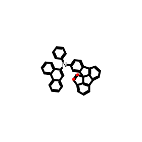 c1ccc(N(c2ccc3c(c2)C24c5ccccc5-c5cccc(c52)-c2cccc-3c24)c2cc3ccccc3c3ccccc23)cc1